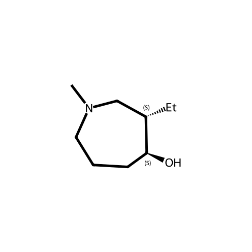 CC[C@H]1CN(C)CCC[C@@H]1O